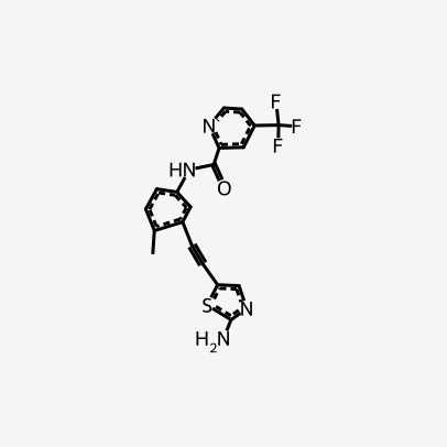 Cc1ccc(NC(=O)c2cc(C(F)(F)F)ccn2)cc1C#Cc1cnc(N)s1